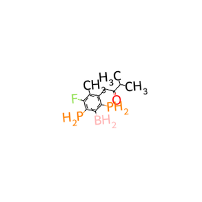 Bc1c(P)c(F)c(C)c(CC(=O)C(C)C)c1P